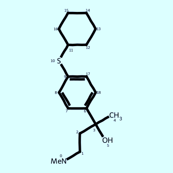 CNCCC(C)(O)c1ccc(SC2CCCCC2)cc1